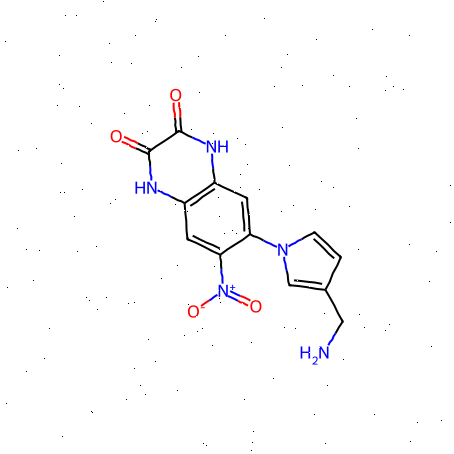 NCc1ccn(-c2cc3[nH]c(=O)c(=O)[nH]c3cc2[N+](=O)[O-])c1